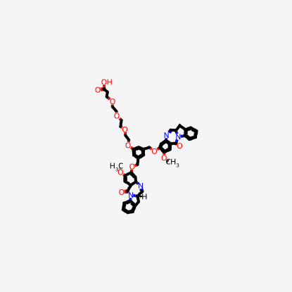 COC1=CC2C(=O)N3c4ccccc4C[C@H]3C=NC2C=C1OCc1cc(COc2cc3c(cc2OC)C(=O)N2c4ccccc4CC2C=N3)cc(OCCOCCOCCOCCC(=O)O)c1